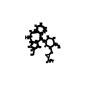 CCCOCC1CN(C2=c3ncccc3=CNc3sc(C)cc32)CCN1C